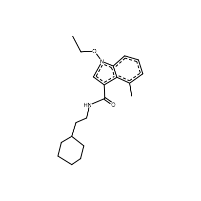 CCOn1cc(C(=O)NCCC2CCCCC2)c2c(C)cccc21